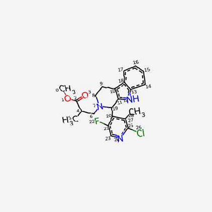 COC(=O)C(C)CN1CCc2c([nH]c3ccccc23)C1c1c(F)cnc(Cl)c1C